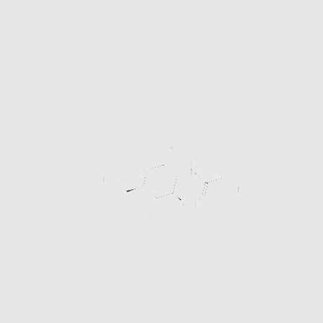 [2H]CC(=O)N[C@@H]1[C@@H](O)[C@H](O)[C@@H](CO)O[C@@H]1O